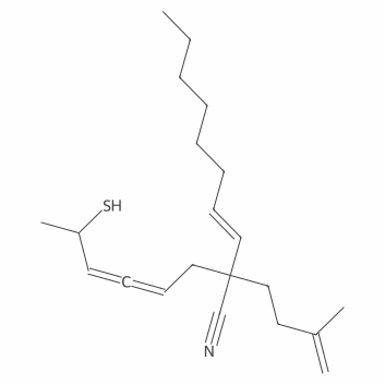 C=C(C)CCC(C#N)(C=CCCCCCC)CC=C=CC(C)S